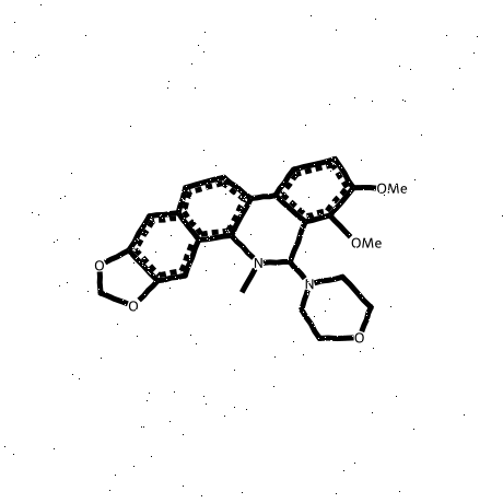 COc1ccc2c(c1OC)C(N1CCOCC1)N(C)c1c-2ccc2cc3c(cc12)OCO3